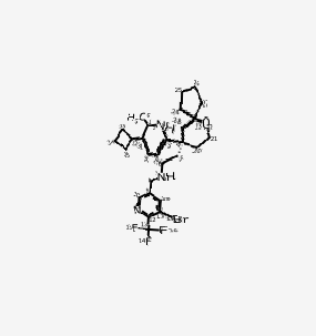 CC1NC([C@]2(CCNCc3cnc(C(F)(F)F)c(Br)c3)CCOC3(CCCC3)C2)=CC=C1C1CCC1